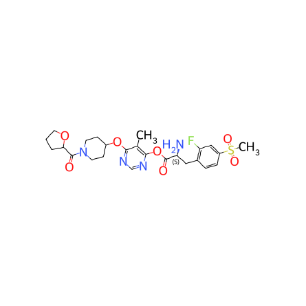 Cc1c(OC(=O)[C@@H](N)Cc2ccc(S(C)(=O)=O)cc2F)ncnc1OC1CCN(C(=O)C2CCCO2)CC1